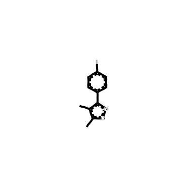 Cc1onc(-c2ccc(I)cc2)c1C